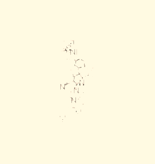 COCCC(=O)N1CCN(c2nc(C3CC3)c(-c3cccc(CNS(C)(=O)=O)c3)c(C)c2C#N)C[C@H]1C